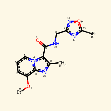 CCOc1cccn2c(C(=O)NCc3noc(C(C)C)n3)c(C)nc12